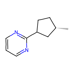 C[C@H]1CCC(c2ncccn2)C1